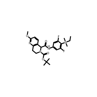 CC[Si](C)(C)c1c(F)cc(NC(=O)C2c3ccc(OC)nc3CCN2C(=O)OC(C)(C)C)cc1F